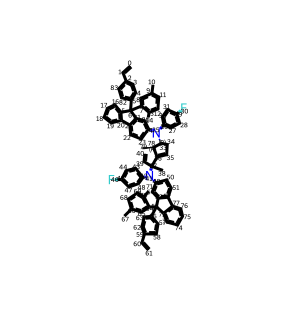 C=Cc1ccc(C2(c3cc(C)ccc3C)c3ccccc3-c3ccc(N(c4ccc(F)cc4)[C@@H]4CC=C(C(C)(C=C)N(c5ccc(F)cc5)c5ccc6c(c5)C(c5ccc(C=C)cc5)(c5cc(C)ccc5C)c5ccccc5-6)[C@H]4C)cc32)cc1